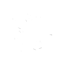 CCC[C@@H]1OC(=O)[C@@H](C)C[C@H](C)CCCCCCC(=O)CCC[C@H](CC)/C=C/C=C(\COC)CC[C@@H](O)[C@@H](O)C[C@H](O)CNC1=O